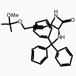 COC(C)(C)OCC#C[C@H]1NC(=O)[C@H]1NC(c1ccccc1)(c1ccccc1)c1ccccc1